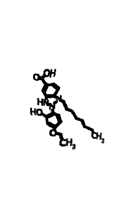 CCCCCCCCN1c2ccc(C(=O)O)cc2NN1c1ccc(OCC)cc1O